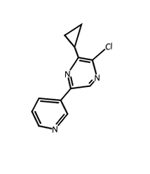 Clc1ncc(-c2cccnc2)nc1C1CC1